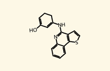 OC1=CCCC(Nc2nc3ccccc3c3sccc23)=C1